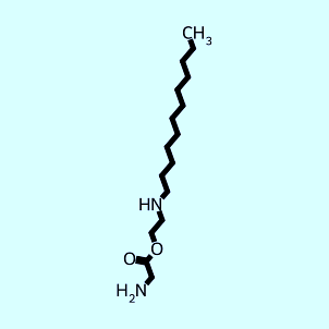 CCCCCCCCCCCCNCCOC(=O)CN